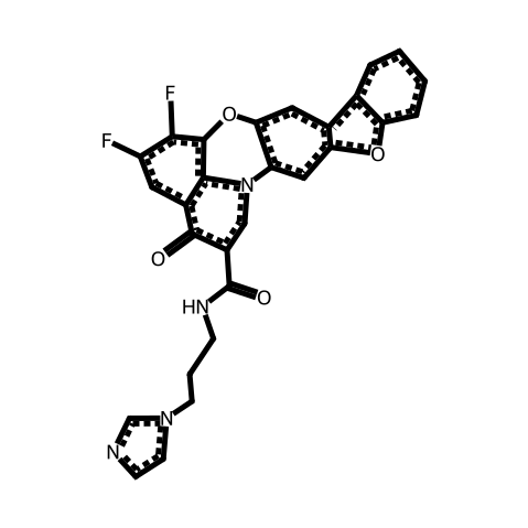 O=C(NCCCn1ccnc1)c1cn2c3c(c(F)c(F)cc3c1=O)Oc1cc3c(cc1-2)oc1ccccc13